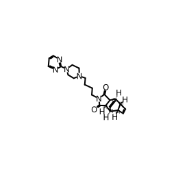 O=C1C2[C@@H]3C=C[C@@H]([C@H]4C=C[C@H]43)[C@H]2C(=O)N1CCCCN1CCN(c2ncccn2)CC1